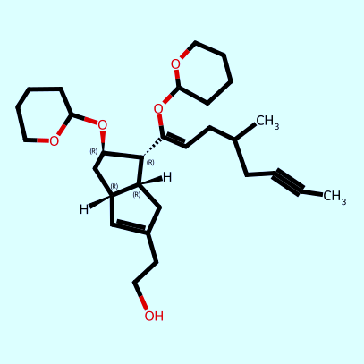 CC#CCC(C)CC=C(OC1CCCCO1)[C@@H]1[C@@H]2CC(CCO)=C[C@@H]2C[C@H]1OC1CCCCO1